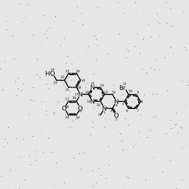 CN1C(=O)N(c2ccccc2Br)Cc2cnc(N(C3=CC=CC(CO)C3)C3=COC=CO3)nc21